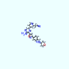 CC(C)(C#N)c1cc(-c2cnc(N)c(-c3cc(-c4ccc(CNC5CCOCC5)cc4)no3)n2)ccn1